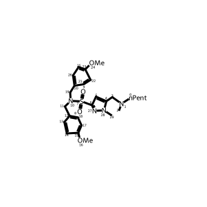 CCCCCN(C)Cc1cc(S(=O)(=O)N(Cc2ccc(OC)cc2)Cc2ccc(OC)cc2)nn1C